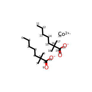 CCCCCC(C)(C)C(=O)[O-].CCCCCC(C)(C)C(=O)[O-].[Co+2]